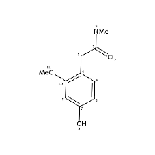 CNC(=O)Cc1ccc(O)cc1OC